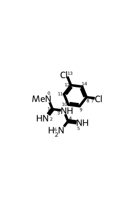 CNC(=N)NC(=N)N.Clc1cccc(Cl)c1